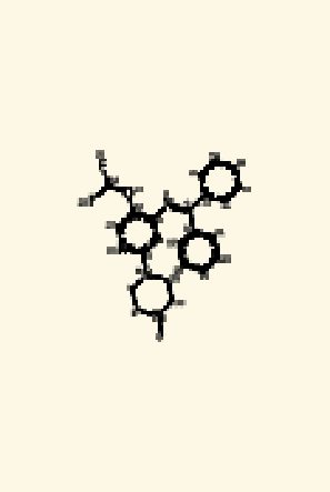 CN1CCN(c2cc(N=C(c3ccccc3)c3ccccc3)c(OC(F)F)cn2)CC1